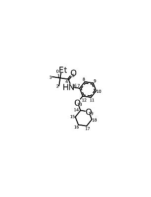 CCC(C)(C)C(=O)Nc1ccccc1OC1CCCCO1